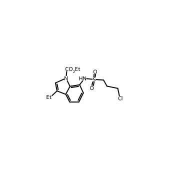 CCOC(=O)n1cc(CC)c2cccc(NS(=O)(=O)CCCCl)c21